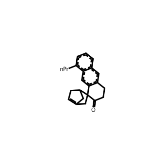 CCCc1cccc2cc3c(cc12)C1(CC2=CCC1C2)C(=O)CC3